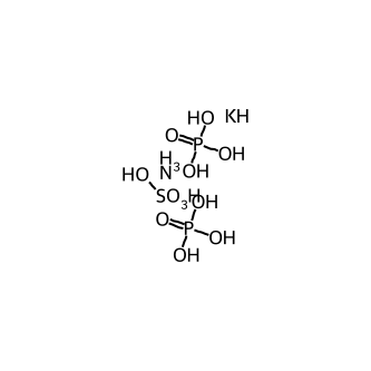 N.O=P(O)(O)O.O=P(O)(O)O.O=S(=O)(O)O.[KH]